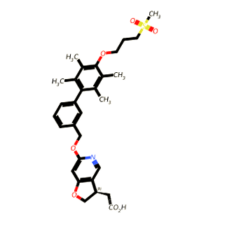 Cc1c(C)c(-c2cccc(COc3cc4c(cn3)[C@@H](CC(=O)O)CO4)c2)c(C)c(C)c1OCCCS(C)(=O)=O